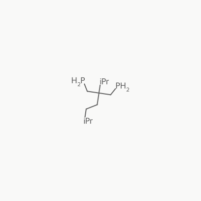 CC(C)CCC(CP)(CP)C(C)C